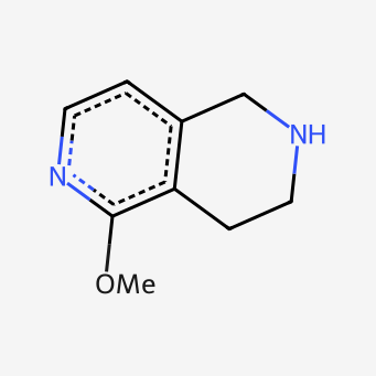 COc1nccc2c1CCNC2